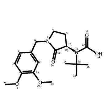 COc1ccc(CN2CC[C@@H](N(C(=O)O)C(C)(C)C)C2=O)cc1OC